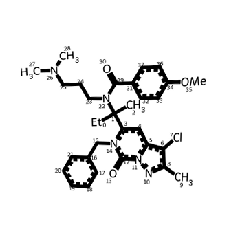 CCC(C)(c1cc2c(Cl)c(C)nn2c(=O)n1Cc1ccccc1)N(CCCN(C)C)C(=O)c1ccc(OC)cc1